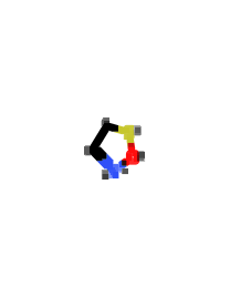 C1=[N+]OSC1